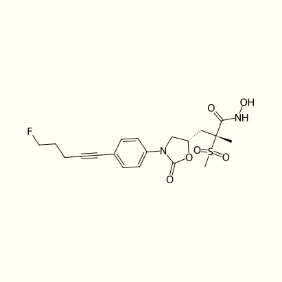 C[C@@](C[C@H]1CN(c2ccc(C#CCCCF)cc2)C(=O)O1)(C(=O)NO)S(C)(=O)=O